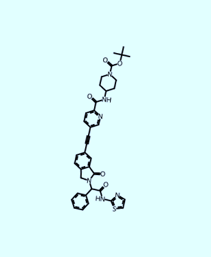 CC(C)(C)OC(=O)N1CCC(NC(=O)c2ccc(C#Cc3ccc4c(c3)C(=O)N(C(C(=O)Nc3nccs3)c3ccccc3)C4)cn2)CC1